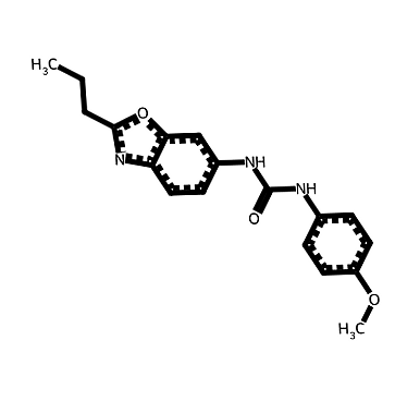 CCCc1nc2ccc(NC(=O)Nc3ccc(OC)cc3)cc2o1